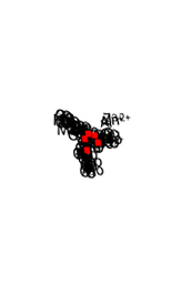 O=P([O][Mo](=[O])(=[O])[O][Mo](=[O])(=[O])[O][Mo](=[O])(=[O])[O][Mo](=[O])(=[O])[O-])([O][Mo](=[O])(=[O])[O][Mo](=[O])(=[O])[O][Mo](=[O])(=[O])[O][Mo](=[O])(=[O])[O-])[O][Mo](=[O])(=[O])[O][Mo](=[O])(=[O])[O][Mo](=[O])(=[O])[O][Mo](=[O])(=[O])[O-].[Al+3].[Zn+2]